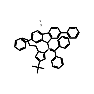 CCCCC1C=C(C(C)(C)C)C=[C]1[Zr+2](=[C](c1ccccc1)c1ccccc1)[CH]1c2cc(-c3ccccc3)ccc2-c2ccc(-c3ccccc3)cc21.[Cl-].[Cl-]